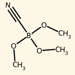 CO[B-](C#N)(OC)OC